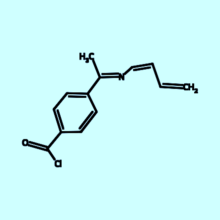 C=C/C=C\N=C(/C)c1ccc(C(=O)Cl)cc1